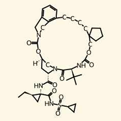 CC[C@@H]1C[C@]1(NC(=O)[C@@H]1C[C@@H]2CN1C(=O)[C@H](C(C)(C)C)NC(=O)OCC1(CCCCc3cccc4c3CN(C4)C(=O)O2)CCCC1)C(=O)NS(=O)(=O)C1CC1